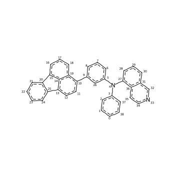 c1ccc(N(c2cccc(-c3ccc4c5c(cccc35)-c3ccccc3-4)c2)c2cccc3cnccc23)cc1